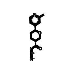 Cc1cc([C@@H]2CC[C@@H](C(=O)N=[N+]=[N-])CO2)ccn1